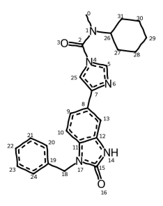 CN(C(=O)n1cnc(-c2ccc3c(c2)[nH]c(=O)n3Cc2ccccc2)c1)C1CCCCC1